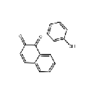 O=C1C=Cc2ccccc2C1=O.Oc1ccccc1